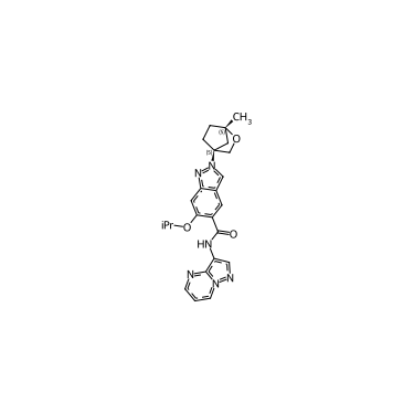 CC(C)Oc1cc2nn([C@@]34CC[C@@](C)(C3)OC4)cc2cc1C(=O)Nc1cnn2cccnc12